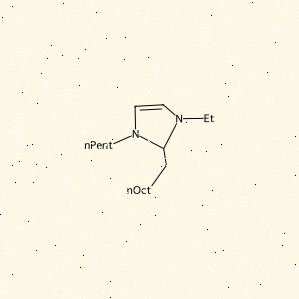 CCCCCCCCCC1N(CC)C=CN1CCCCC